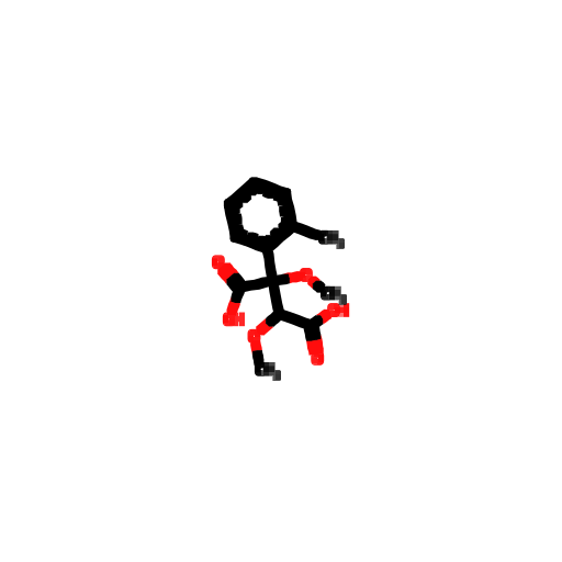 COC(C(=O)O)C(OC)(C(=O)O)c1ccccc1C